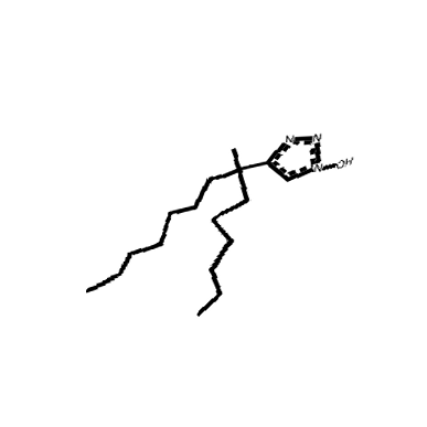 CCCCCCCC(C)(CCCCCC)c1cn(O)nn1